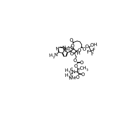 COC(=O)[C@H]([C@@H](C)OC(=O)OC[C@H]1O[C@@](C#N)(c2ccc3c(N)ncnn23)[C@@H]2OC(=O)CCCC(=O)O[C@@H]21)N(C)C.O=C(O)C(F)(F)F